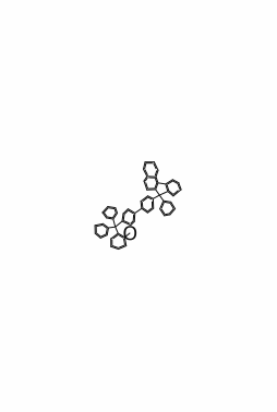 c1ccc(C2(c3ccccc3)c3ccccc3Oc3cc(-c4ccc(C5(c6ccccc6)c6ccccc6-c6c5ccc5ccccc65)cc4)ccc32)cc1